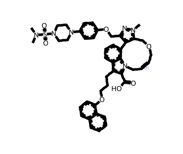 CN(C)S(=O)(=O)N1CCN(c2ccc(OCc3nn(C)c4c3-c3cccc5c(CCCOc6cccc7ccccc67)c(C(=O)O)n(c35)C/C=C\COC4)cc2)CC1